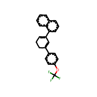 FC(F)(F)Oc1ccc(C2=CC(c3cccc4ccccc34)=CCC2)cc1